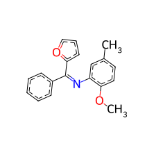 COc1ccc(C)cc1N=C(c1ccccc1)c1ccco1